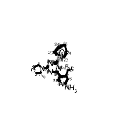 C[C@@H]1COCCN1c1nc(-c2cnc(N)cc2C(F)F)nc(N2CC3CC(C2)O3)n1